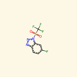 O=S(=O)(n1nnc2ccc(F)cc21)C(F)(F)F